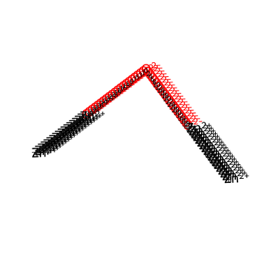 [O-2].[O-2].[O-2].[O-2].[O-2].[O-2].[O-2].[O-2].[O-2].[O-2].[O-2].[O-2].[O-2].[O-2].[O-2].[O-2].[O-2].[O-2].[O-2].[O-2].[O-2].[O-2].[O-2].[O-2].[O-2].[O-2].[O-2].[O-2].[O-2].[O-2].[O-2].[O-2].[O-2].[O-2].[O-2].[O-2].[O-2].[O-2].[O-2].[O-2].[O-2].[O-2].[Zn+2].[Zn+2].[Zn+2].[Zn+2].[Zn+2].[Zn+2].[Zn+2].[Zn+2].[Zn+2].[Zn+2].[Zn+2].[Zn+2].[Zn+2].[Zn+2].[Zn+2].[Zn+2].[Zn+2].[Zn+2].[Zn+2].[Zn+2].[Zn+2].[Zn+2].[Zn+2].[Zn+2].[Zn+2].[Zn+2].[Zn+2].[Zn+2].[Zn+2].[Zn+2].[Zn+2].[Zn+2].[Zn+2].[Zn+2].[Zn+2].[Zn+2].[Zn+2]